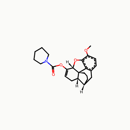 COc1ccc2c3c1O[C@H]1C(OC(=O)N4CCCCC4)=CC[C@H]4[C@H](CCC[C@]314)C2